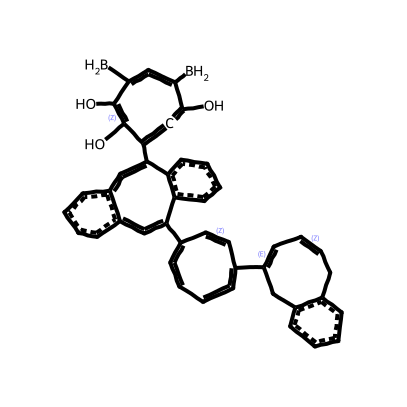 BC1=C=C(B)/C(O)=C(/O)C(C2=C=c3ccccc3=C=C(C3=C=CC=C=C(/C4=C/C=C\Cc5ccccc5C4)/C=C\3)c3ccccc32)=C=C1O